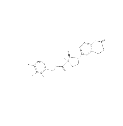 O=C1CCc2cc(N3CCC(O)(C(=O)NCc4ccc(F)c(F)c4F)C3=O)ccc2N1